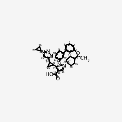 C[C@H](Oc1cccc(-c2cccc(-n3ncc(C(=O)O)c3C3CC3c3cn(C4CC4)nn3)c2)c1)C1CCCCC1